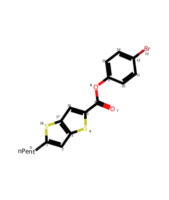 CCCCCc1cc2sc(C(=O)Oc3ccc(Br)cc3)cc2s1